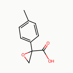 Cc1ccc(C2(C(=O)O)CO2)cc1